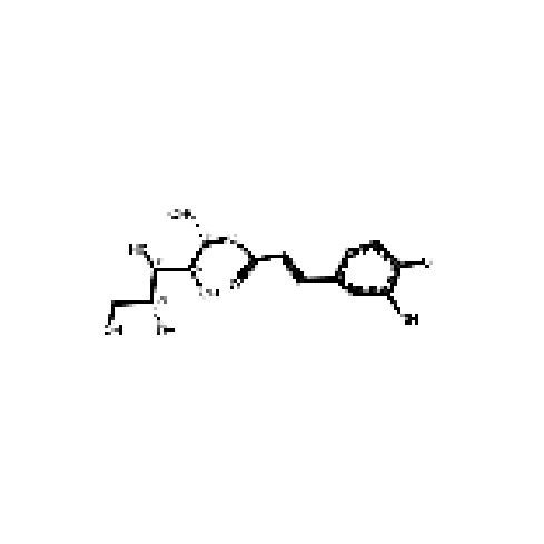 O=C[C@H](OC(=O)C=Cc1ccc(O)c(O)c1)[C@@H](O)[C@H](O)[C@H](O)CO